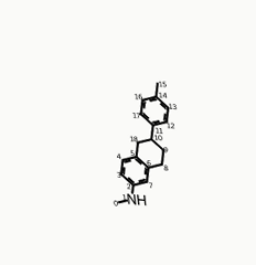 CNc1ccc2c(c1)CCC(c1ccc(C)cc1)C2